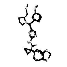 COC[C@@H]1CCCN1C(c1cccc(OC)c1)c1cnc(NC(=O)C2(c3ccc4c(c3)OCO4)CC2)s1